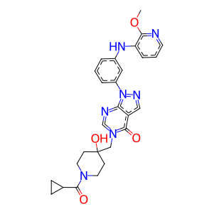 COc1ncccc1Nc1cccc(-n2ncc3c(=O)n(CC4(O)CCN(C(=O)C5CC5)CC4)cnc32)c1